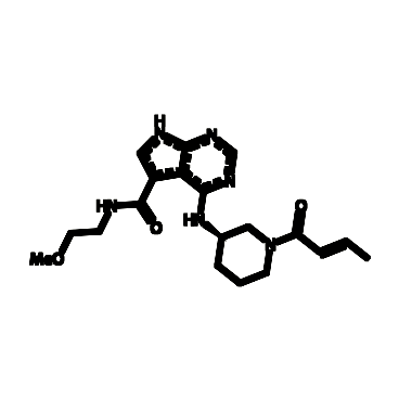 CC=CC(=O)N1CCC[C@@H](Nc2ncnc3[nH]cc(C(=O)NCCOC)c23)C1